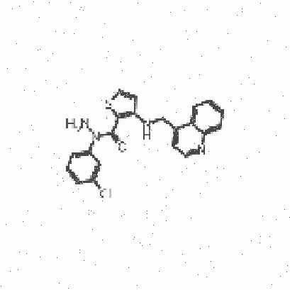 NN(C(=O)c1sccc1NCc1ccnc2ccccc12)c1cccc(Cl)c1